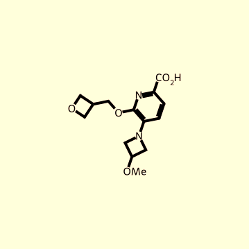 COC1CN(c2ccc(C(=O)O)nc2OCC2COC2)C1